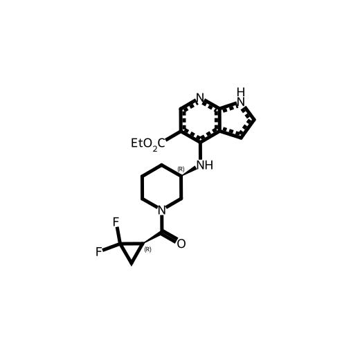 CCOC(=O)c1cnc2[nH]ccc2c1N[C@@H]1CCCN(C(=O)[C@H]2CC2(F)F)C1